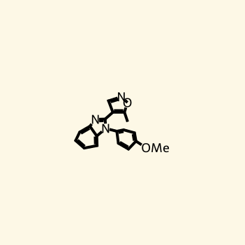 COc1ccc(-n2c(-c3cnoc3C)nc3ccccc32)cc1